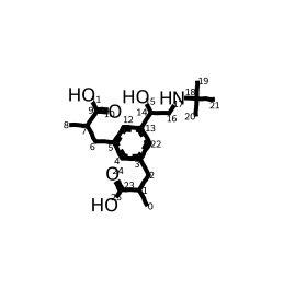 CC(Cc1cc(CC(C)C(=O)O)cc(C(O)CNC(C)(C)C)c1)C(=O)O